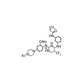 C=CC(=O)Nc1cccc(NC2NC(Nc3ccc(N4CCN(C(C)=O)CC4)cc3OC)NCC2C(F)(F)F)c1